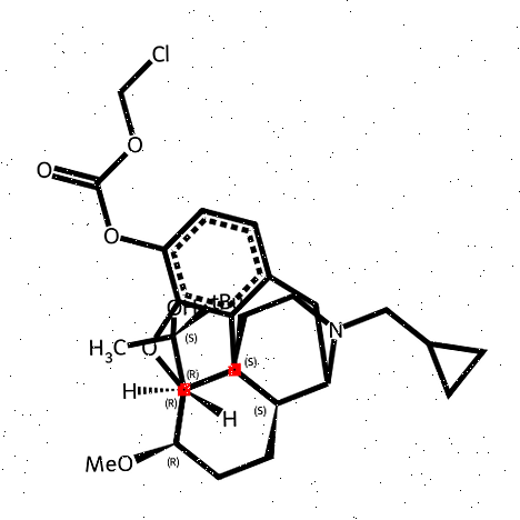 CO[C@]12CC[C@@]3(C[C@@H]1[C@](C)(O)C(C)(C)C)C1Cc4ccc(OC(=O)OCCl)c5c4[C@@]3(CCN1CC1CC1)[C@H]2O5